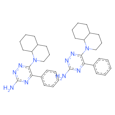 Nc1nnc(N2CCCC3CCCCC32)c(-c2ccccc2)n1.Nc1nnc(N2CCCC3CCCCC32)c(-c2ccccc2)n1